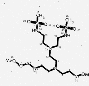 CONCCN(CCNSOOC)CCN(CCNS(C)(=O)=O)CCNS(C)(=O)=O